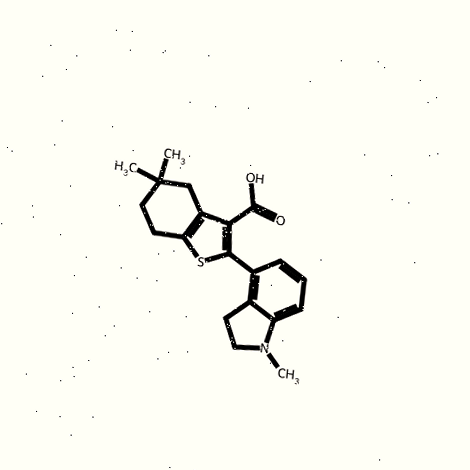 CN1CCc2c(-c3sc4c(c3C(=O)O)CC(C)(C)CC4)cccc21